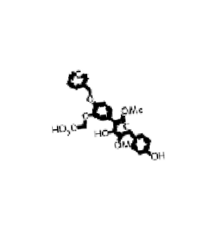 COc1cc(-c2ccc(O)cc2)c(OC)c(O)c1-c1ccc(OCc2ccccc2)c(OCC(=O)O)c1